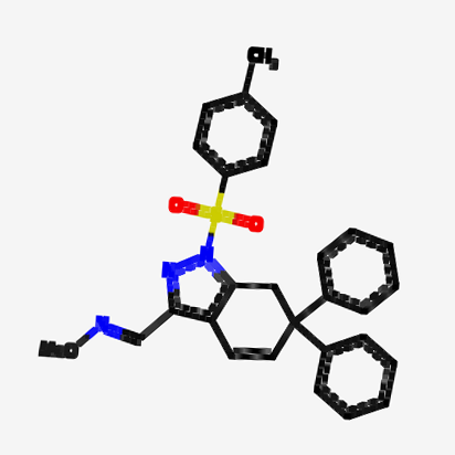 CO/N=C/c1nn(S(=O)(=O)c2ccc(C)cc2)c2c1C=CC(c1ccccc1)(c1ccccc1)C2